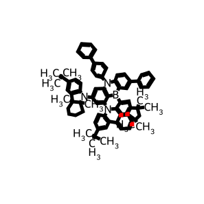 CC(C)(C)c1ccc(N2c3cc4c(cc3B3c5cc(-c6ccccc6)ccc5N(c5ccc(-c6ccccc6)cc5)c5cc(N6c7ccc(C(C)(C)C)cc7C7(C)CCCCC67C)cc2c53)C(C)(C)CC4(C)C)c(-c2ccccc2)c1